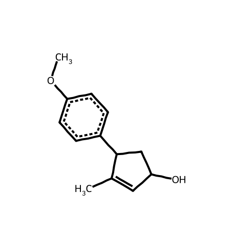 COc1ccc(C2CC(O)C=C2C)cc1